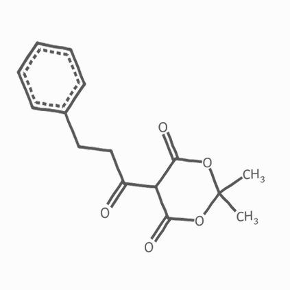 CC1(C)OC(=O)C(C(=O)CCc2ccccc2)C(=O)O1